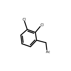 CC(=O)Cc1cccc(Cl)c1Cl